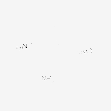 NC1=C(C=O)CCN1